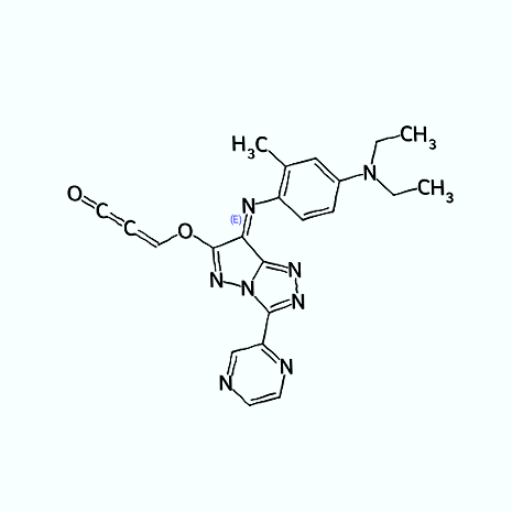 CCN(CC)c1ccc(/N=C2/C(OC=C=C=O)=Nn3c2nnc3-c2cnccn2)c(C)c1